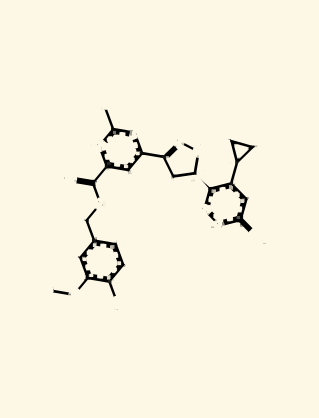 COc1cc(CNC(=O)c2cc(C3=NO[C@@H](c4n[nH]c(=O)cc4C4CC4)C3)nc(C)n2)ccc1F